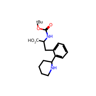 CC(C)(C)OC(=O)NC(Cc1ccccc1C1CCCCN1)C(=O)O